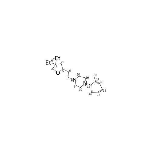 CCC1(CC)COC(CCN2CCN(c3ccccc3C)CC2)C1